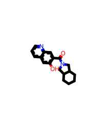 O=C(c1cc2ncccc2cc1O)N1CC2CCCCC2C1